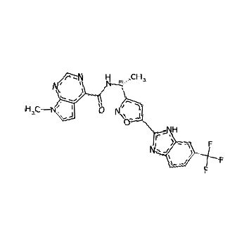 C[C@@H](NC(=O)c1ncnc2c1ccn2C)c1cc(-c2nc3ccc(C(F)(F)F)cc3[nH]2)on1